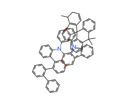 CC1CC=CC2=C1c1ccc(N(c3ccccc3-c3ccccc3-c3ccccc3-c3ccccc3)c3cccc4c5ccccc5n(-c5ccccc5)c34)cc1C21c2ccccc2C(C)(C)c2ccccc21